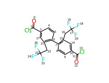 O=C(Cl)c1ccc(-c2ccc(C(=O)Cl)cc2CC(F)(F)F)c(CC(F)(F)F)c1